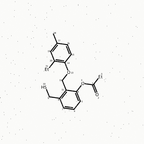 CCC(=O)Oc1cccc(CS)c1COc1ccc(C)cc1CC